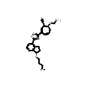 CCOC1=C(C#N)C=C(c2nc(-c3cccc4c3CC[C@@H]4NCCCO)no2)C=CC1